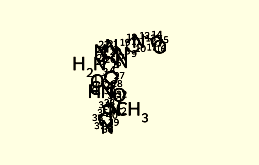 COc1cc(-c2nn(C3CCN(Cc4ccoc4)CC3)c3ncnc(N)c23)ccc1NC(=O)c1cc2ccncc2n1C